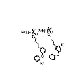 CC(=O)NP(=O)([O-])OCCCCc1cccc(Oc2ccccc2)c1.CC(=O)NP(=O)([O-])OCCCCc1cccc(Oc2ccccc2)c1.[K+].[K+]